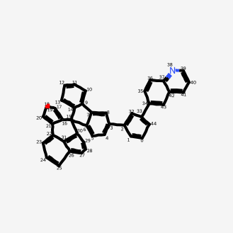 c1cc(-c2ccc3c(c2)-c2ccccc2C32c3ccccc3-c3cccc4cccc2c34)cc(-c2ccc3ncccc3c2)c1